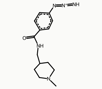 CN1CCC(CNC(=O)c2ccc(N=[N+]=N)cc2)CC1